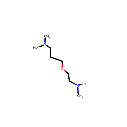 CN(C)CCCOCCN(C)C